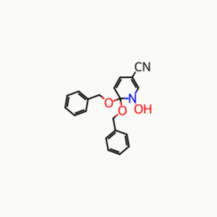 N#CC1=CN(O)C(OCc2ccccc2)(OCc2ccccc2)C=C1